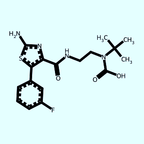 CC(C)(C)N(CCNC(=O)c1nc(N)sc1-c1cccc(F)c1)C(=O)O